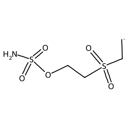 [CH2]CS(=O)(=O)CCOS(N)(=O)=O